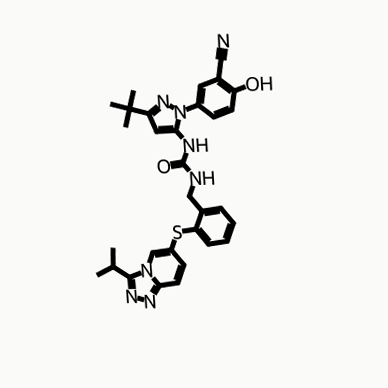 CC(C)c1nnc2ccc(Sc3ccccc3CNC(=O)Nc3cc(C(C)(C)C)nn3-c3ccc(O)c(C#N)c3)cn12